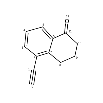 C#Cc1cccc2c1CCCC2=O